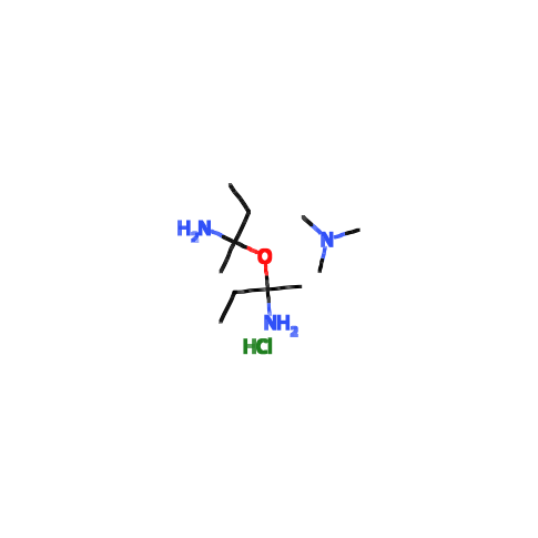 CCC(C)(N)OC(C)(N)CC.CN(C)C.Cl